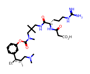 CC[C@@H](c1cccc(OC(=O)N(C)CC(C)(C)CNC(=O)[C@H](CCCNC(=N)N)NC(=O)CC(=O)O)c1)[C@@H](C)CN(C)C